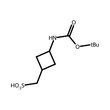 CC(C)(C)OC(=O)NC1CC(CS(=O)(=O)O)C1